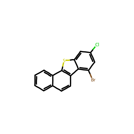 Clc1cc(Br)c2c(c1)sc1c3ccccc3ccc12